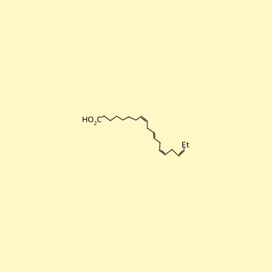 CC/C=C\C/C=C\C/C=C/C/C=C\CCCCCCC(=O)O